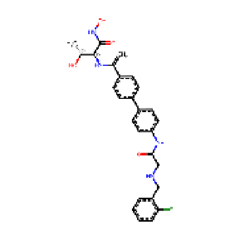 C=C(N[C@H](C(=O)NO)[C@@H](C)O)c1ccc(-c2ccc(NC(=O)CNCc3ccccc3F)cc2)cc1